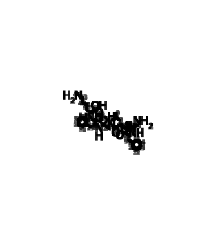 CC(C)C[C@H](NC(=O)[C@H](Cc1ccccc1)NC(=O)CN)C(=O)NCC(=O)N[C@@H](Cc1ccccc1)C(=O)N[C@@H](CCCCN)C(=O)O